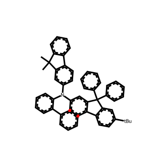 CC(C)(C)c1ccc2c(c1)C(c1ccccc1)(c1ccccc1)c1cc(N(c3ccc4c(c3)C(C)(C)c3ccccc3-4)c3ccccc3-c3ccccc3)ccc1-2